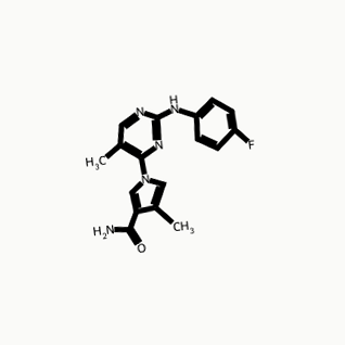 Cc1cn(-c2nc(Nc3ccc(F)cc3)ncc2C)cc1C(N)=O